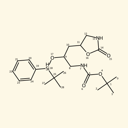 CC(C)(C)OC(=O)NCC(CC1CNC(=O)O1)O[SiH](c1ccccc1)C(C)(C)C